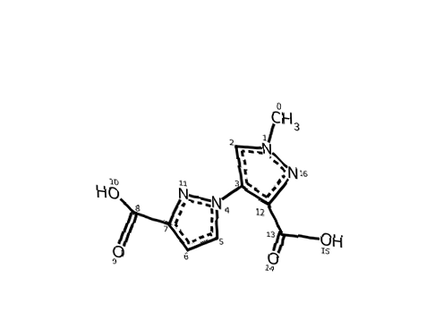 Cn1cc(-n2ccc(C(=O)O)n2)c(C(=O)O)n1